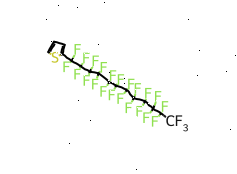 FC(F)(F)C(F)(F)C(F)(F)C(F)(F)C(F)(F)C(F)(F)C(F)(F)C(F)(F)C(F)(F)C(F)(F)C(F)(F)C(F)(F)c1cccs1